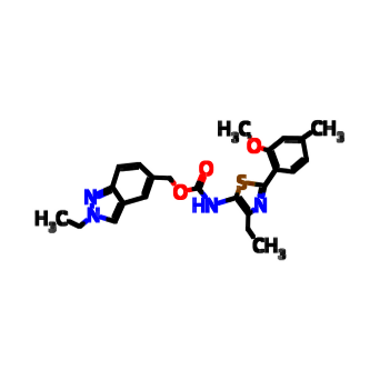 CCc1nc(-c2ccc(C)cc2OC)sc1NC(=O)OCc1ccc2nn(CC)cc2c1